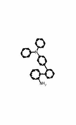 Nc1ccccc1-c1ccccc1-c1ccc(N(c2ccccc2)c2ccccc2)cc1